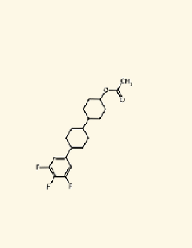 CC(=O)OC1CCC(C2CCC(c3cc(F)c(F)c(F)c3)CC2)CC1